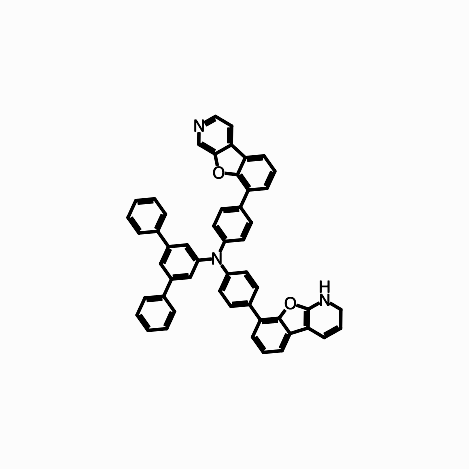 C1=Cc2c(oc3c(-c4ccc(N(c5ccc(-c6cccc7c6oc6cnccc67)cc5)c5cc(-c6ccccc6)cc(-c6ccccc6)c5)cc4)cccc23)NC1